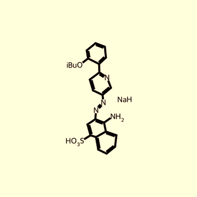 CC(C)COc1ccccc1-c1ccc(N=Nc2cc(S(=O)(=O)O)c3ccccc3c2N)cn1.[NaH]